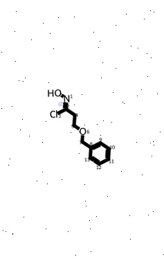 O/N=C(\Cl)CCOCc1ccccc1